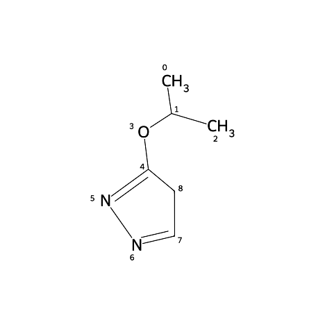 CC(C)OC1=NN=CC1